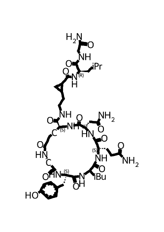 CCC(C)C1NC(=O)[C@H](Cc2ccc(O)cc2)NC(=O)CNC(=O)CC[C@@H](C(=O)NCCC2CC2C(=O)N[C@H](CC(C)C)C(=O)NCC(N)=O)NC(=O)[C@H](CC(N)=O)NC(=O)[C@H](CCC(N)=O)NC1=O